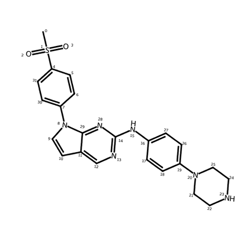 CS(=O)(=O)c1ccc(-n2ccc3cnc(Nc4ccc(N5CCNCC5)cc4)nc32)cc1